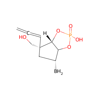 B[C@@H]1C[C@](C=C=C)(CO)[C@@H]2OP(=O)(O)OC12